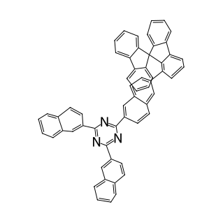 c1ccc2c(c1)-c1ccccc1C21c2ccccc2-c2cccc(-c3ccc4cc(-c5nc(-c6ccc7ccccc7c6)nc(-c6ccc7ccccc7c6)n5)ccc4c3)c21